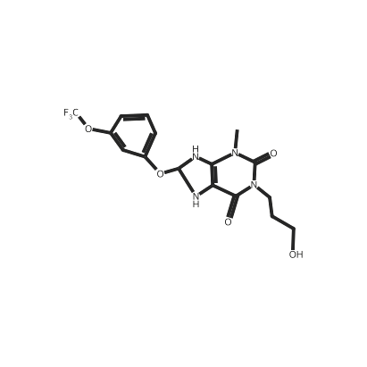 Cn1c2c(c(=O)n(CCCO)c1=O)NC(Oc1cccc(OC(F)(F)F)c1)N2